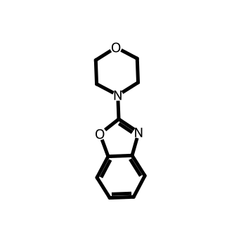 c1ccc2oc(N3CCOCC3)nc2c1